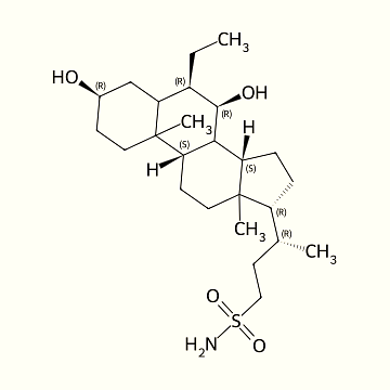 CC[C@@H]1C2C[C@H](O)CCC2(C)[C@H]2CCC3(C)[C@@H]([C@H](C)CCS(N)(=O)=O)CC[C@H]3C2[C@@H]1O